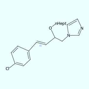 CCCCCCCOC(/C=C/c1ccc(Cl)cc1)Cn1ccnc1